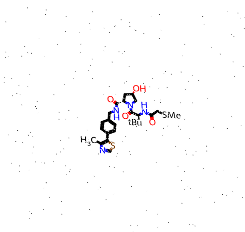 CSCC(=O)N[C@H](C(=O)N1C[C@H](O)C[C@H]1C(=O)NCc1ccc(-c2scnc2C)cc1)C(C)(C)C